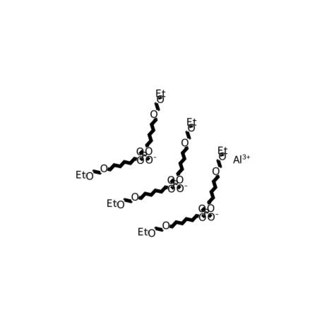 CCOCCOCCCCCCOP(=O)([O-])OCCCCCCOCCOCC.CCOCCOCCCCCCOP(=O)([O-])OCCCCCCOCCOCC.CCOCCOCCCCCCOP(=O)([O-])OCCCCCCOCCOCC.[Al+3]